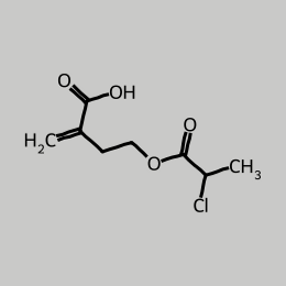 C=C(CCOC(=O)C(C)Cl)C(=O)O